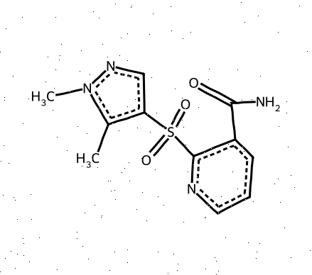 Cc1c(S(=O)(=O)c2ncccc2C(N)=O)cnn1C